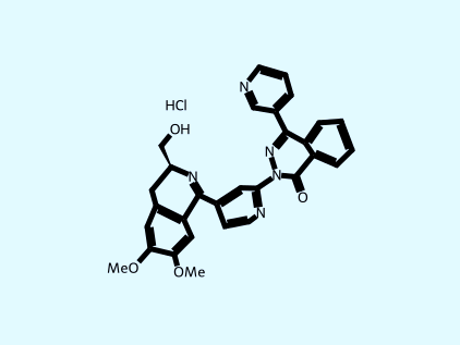 COc1cc2c(cc1OC)C(c1ccnc(-n3nc(-c4cccnc4)c4ccccc4c3=O)c1)=N[C@H](CO)C2.Cl